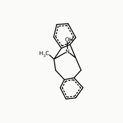 CC12Cc3ccccc3CC(c3ccccc31)N2O